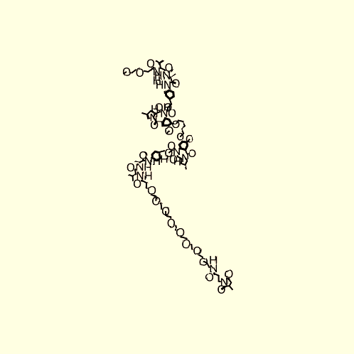 COCCOCCC(=O)N[C@H](C(=O)N[C@@H](C)C(=O)Nc1ccc(COC(=O)N2c3cc(OCCCCCOc4cc5c(cc4OC)C(=O)N4C=C(C)C[C@H]4[C@H](O)N5C(=O)OCc4ccc(NC(=O)[C@H](C)NC(=O)[C@@H](NC(=O)CCOCCOCCOCCOCCOCCOCCOCCOCCNC(=O)CCN5C(=O)CC(C)C5=O)C(C)C)cc4)c(OC)cc3C(=O)N3C=C(C)C[C@H]3[C@@H]2O)cc1)C(C)C